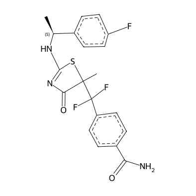 C[C@H](NC1=NC(=O)C(C)(C(F)(F)c2ccc(C(N)=O)cc2)S1)c1ccc(F)cc1